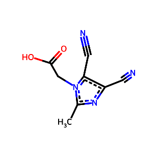 Cc1nc(C#N)c(C#N)n1CC(=O)O